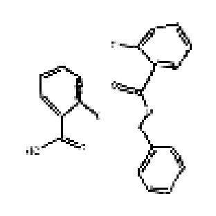 O=C(O)c1ccccc1Cl.O=C(OCc1ccccc1)c1ccccc1Cl